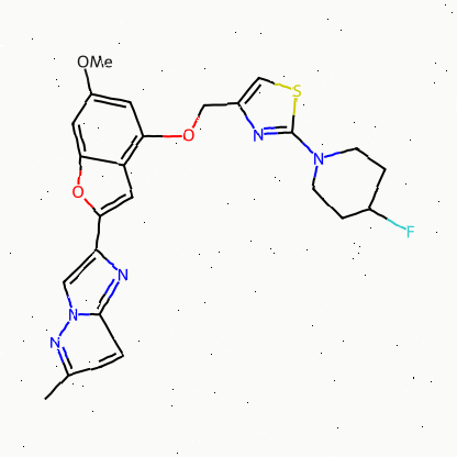 COc1cc(OCc2csc(N3CCC(F)CC3)n2)c2cc(-c3cn4nc(C)ccc4n3)oc2c1